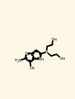 N#Cc1c(N)oc2cc(N(CCO)CCO)[nH]c12